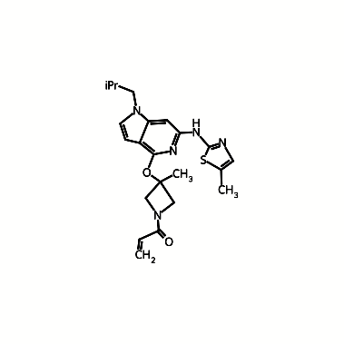 C=CC(=O)N1CC(C)(Oc2nc(Nc3ncc(C)s3)cc3c2ccn3CC(C)C)C1